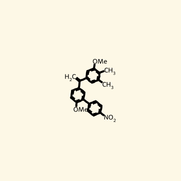 C=C(c1cc(C)c(C)c(OC)c1)c1ccc(OC)c(-c2ccc([N+](=O)[O-])cc2)c1